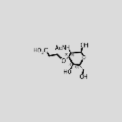 CC(=O)N[C@H]1C(O)O[C@H](CO)[C@@H](O)[C@@H]1OCCC(=O)O